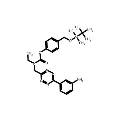 CCN(Cc1nnc(-c2cccc(N)c2)nn1)C(=O)Oc1ccc(CO[Si](C)(C)C(C)(C)C)cc1